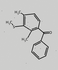 CSc1c(C)ccc(C(=O)c2ccccc2)c1C